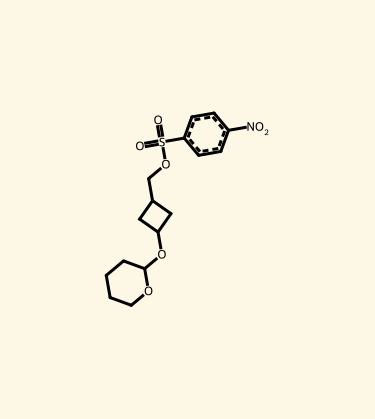 O=[N+]([O-])c1ccc(S(=O)(=O)OCC2CC(OC3CCCCO3)C2)cc1